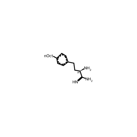 CCCCCCCCc1ccc(CC[C@@H](N)C(=N)N)cc1